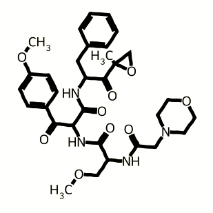 COCC(NC(=O)CN1CCOCC1)C(=O)NC(C(=O)NC(Cc1ccccc1)C(=O)C1(C)CO1)C(=O)c1ccc(OC)cc1